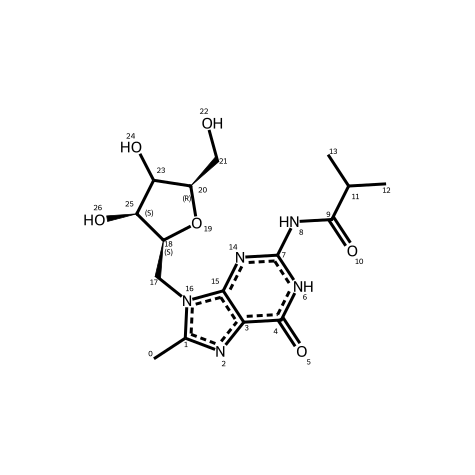 Cc1nc2c(=O)[nH]c(NC(=O)C(C)C)nc2n1C[C@@H]1O[C@H](CO)C(O)[C@@H]1O